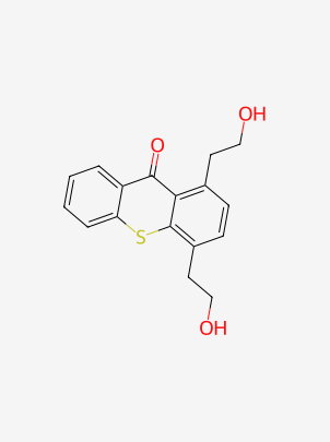 O=c1c2ccccc2sc2c(CCO)ccc(CCO)c12